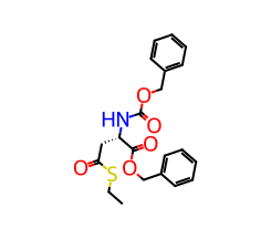 CCSC(=O)C[C@H](NC(=O)OCc1ccccc1)C(=O)OCc1ccccc1